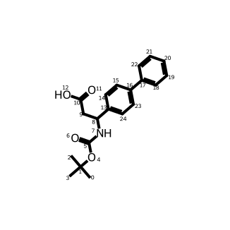 CC(C)(C)OC(=O)NC(CC(=O)O)c1ccc(-c2ccccc2)cc1